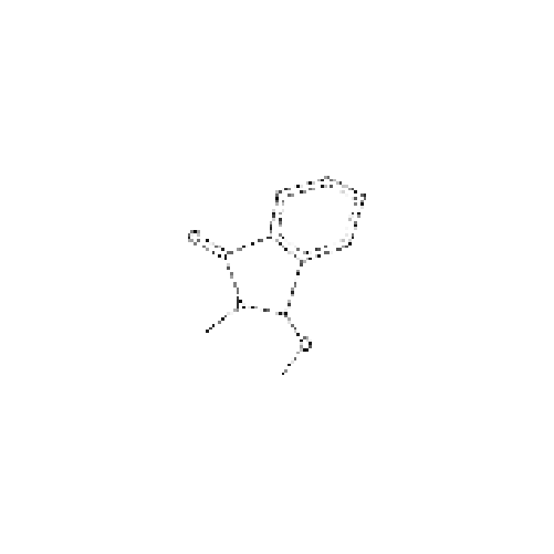 COC1c2ccccc2C(=O)N1C